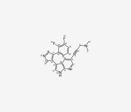 CN(C)CC#Cc1cnc2[nH]cc(-c3oncc3-c3cccc(F)c3F)c2c1